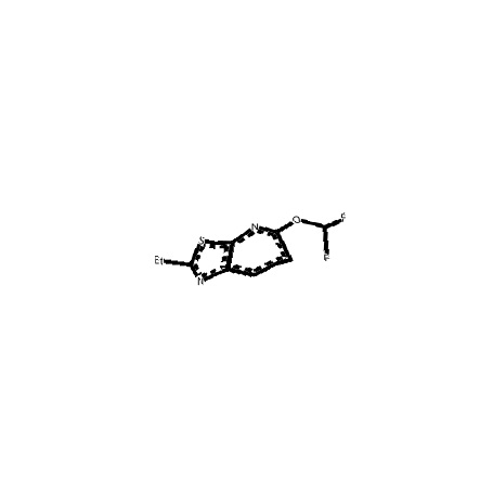 CCc1nc2ccc(OC(F)F)nc2s1